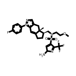 COCCN(C[C@H]1CCC2=Cc3c(cnn3-c3ccc(F)cc3)C[C@@]21C)S(=O)(=O)C1=CC(N)N=C1C(F)(F)F